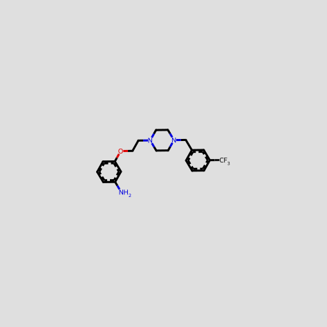 Nc1cccc(OCCN2CCN(Cc3cccc(C(F)(F)F)c3)CC2)c1